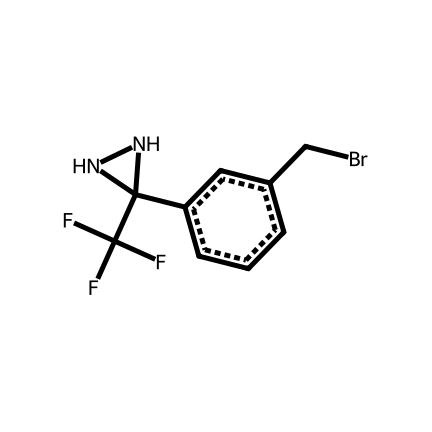 FC(F)(F)C1(c2cccc(CBr)c2)NN1